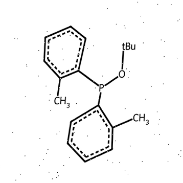 Cc1ccccc1P(OC(C)(C)C)c1ccccc1C